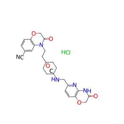 Cl.N#Cc1ccc2c(c1)N(CCC13CCC(NCc4ccc5c(n4)NC(=O)CO5)(CC1)CO3)C(=O)CO2